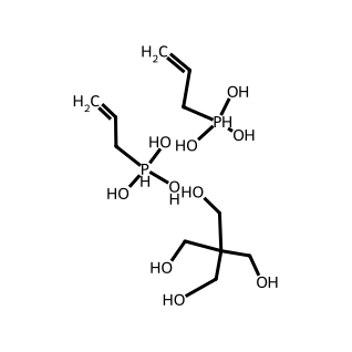 C=CC[PH](O)(O)O.C=CC[PH](O)(O)O.OCC(CO)(CO)CO